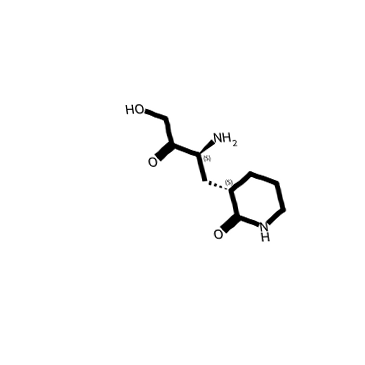 N[C@@H](C[C@@H]1CCCNC1=O)C(=O)CO